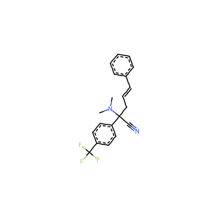 CN(C)C(C#N)(CC=Cc1ccccc1)c1ccc(C(F)(F)F)cc1